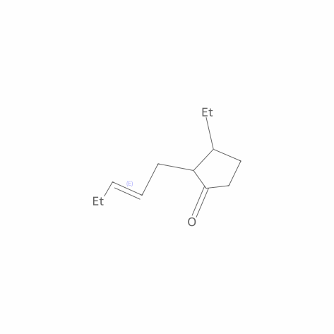 CC/C=C/CC1C(=O)CCC1CC